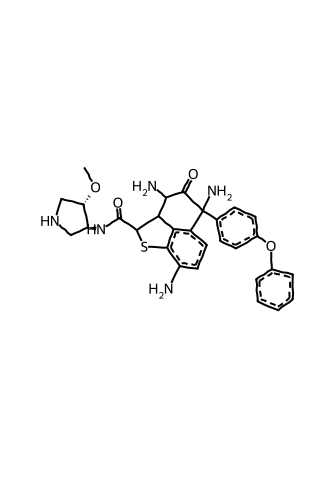 CO[C@H]1CNC[C@@H]1NC(=O)C1Sc2c(N)ccc3c2C1C(N)C(=O)C3(N)c1ccc(Oc2ccccc2)cc1